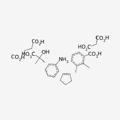 C1=CCCC1.CC(C)(O)C(=O)O.Cc1cccc(C(=O)O)c1C.Nc1ccccc1.O=C(O)CC(=O)O.O=C(O)CCC(=O)O